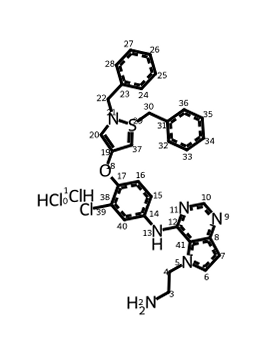 Cl.Cl.NCCn1ccc2ncnc(Nc3ccc(OC4=CN(Cc5ccccc5)S(Cc5ccccc5)=C4)c(Cl)c3)c21